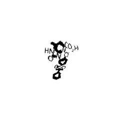 Cc1cc(C(=O)O)nc2c1[nH]c(=O)n2-c1cc(S(=O)(=O)C(C)(C)c2ccccc2)ccc1Cl